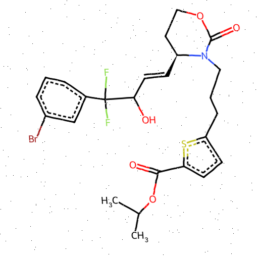 CC(C)OC(=O)c1ccc(CCCN2C(=O)OCC[C@@H]2C=CC(O)C(F)(F)c2cccc(Br)c2)s1